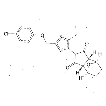 CCc1sc(COc2ccc(Cl)cc2)nc1C1C(=O)[C@@H]2[C@H](C1=O)[C@H]1CC[C@@H]2O1